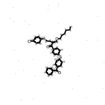 CCCCCCO/N=C(\CCSc1ccc(Cl)cc1)C(=O)c1ccc(Sc2ccc(C(=O)c3ccccc3)cc2)cc1